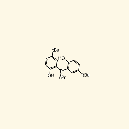 CCCP(c1cc(C(C)(C)C)ccc1O)c1cc(C(C)(C)C)ccc1O